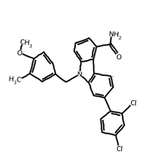 COc1ccc(Cn2c3cc(-c4ccc(Cl)cc4Cl)c[c]c3c3c(C(N)=O)cccc32)cc1C